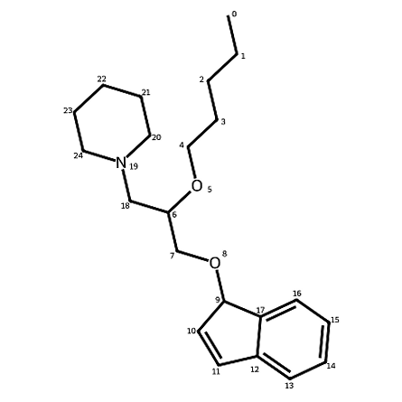 CCCCCOC(COC1C=Cc2ccccc21)CN1CCCCC1